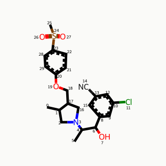 CC1CN(C(C)C(O)c2cc(Cl)cc(C#N)c2)CC1COc1ccc(S(C)(=O)=O)cc1